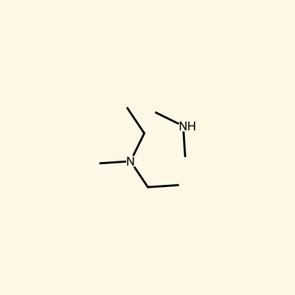 CCN(C)CC.CNC